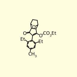 CCOC(=O)OC1=C(c2c(CC)cc(C)cc2CC)C(=O)C2C3CCC(O3)C12